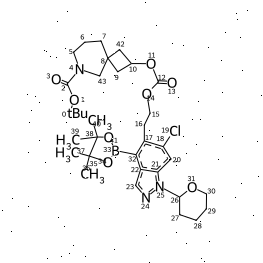 CC(C)(C)OC(=O)N1CCCC2(CC(OC(=O)OCCc3c(Cl)cc4c(cnn4C4CCCCO4)c3B3OC(C)(C)C(C)(C)O3)C2)C1